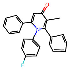 Cc1c(-c2ccccc2)n(-c2ccc(F)cc2)c(-c2ccccc2)cc1=O